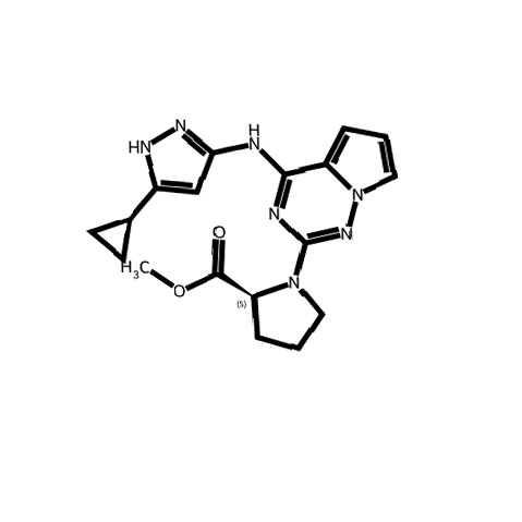 COC(=O)[C@@H]1CCCN1c1nc(Nc2cc(C3CC3)[nH]n2)c2cccn2n1